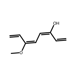 C=C/C(O)=C\C=C(/C=C)OC